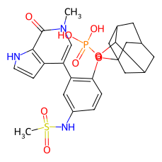 Cn1cc(-c2cc(NS(C)(=O)=O)ccc2OC23CC4CC(C2)C(OP(=O)(O)O)C(C4)C3)c2cc[nH]c2c1=O